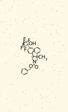 C[C@]1(c2ccccc2)CN(C(=O)OCc2ccccc2)C[C@H]1c1ccc(C(O)(C(F)(F)F)C(F)(F)F)cc1